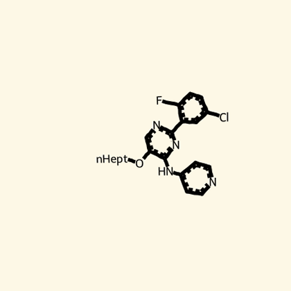 CCCCCCCOc1cnc(-c2cc(Cl)ccc2F)nc1Nc1ccncc1